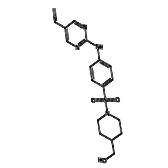 C=Cc1cnc(Nc2ccc(S(=O)(=O)N3CCC(CO)CC3)cc2)nc1